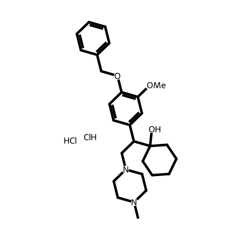 COc1cc(C(CN2CCN(C)CC2)C2(O)CCCCC2)ccc1OCc1ccccc1.Cl.Cl